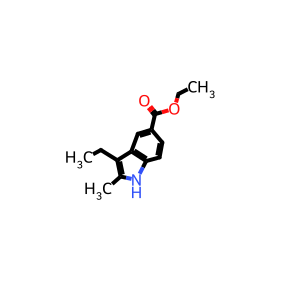 CCOC(=O)c1ccc2[nH]c(C)c(CC)c2c1